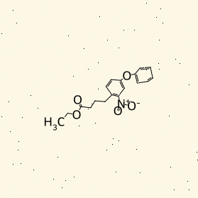 CCOC(=O)CCCc1ccc(Oc2ccccc2)cc1[N+](=O)[O-]